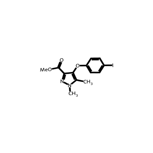 COC(=O)c1nn(C)c(C)c1Oc1ccc(I)cc1